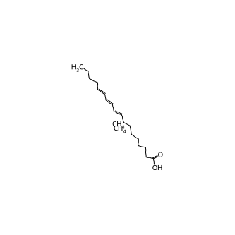 C.C.CCCCC=CC=CC=CCCCCCCCC(=O)O